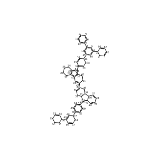 C1=CCC(c2cc(-c3ccccc3)cc(C3C=CC(n4c5c(c6c4CCCC6)C=C(C4=CCC6C(C4)C4C=CC=CC4N6c4ccc(C6C=C(C7C=CCCC7)C=CC6)cc4)CC5)=CC3)c2)C=C1